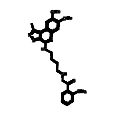 COc1cc2nc(NCCCCNCC(=O)c3ccccc3OC)c3nnc(C)n3c2cc1OC